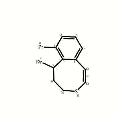 CC(C)c1cccc2c1C(C(C)C)CCS/C=C\2